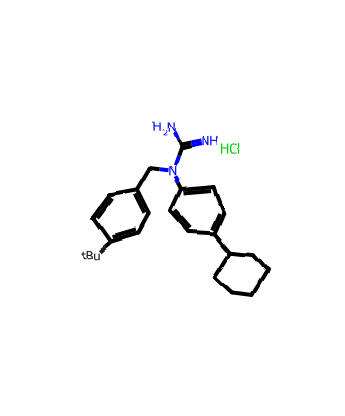 CC(C)(C)c1ccc(CN(C(=N)N)c2ccc(C3CCCCC3)cc2)cc1.Cl